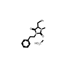 CC(=O)O.CC(C)CC1C(=O)N(CCc2ccccc2)C(=O)N1C